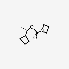 C[C@H](OC(=O)N1CCC1)C1CCC1